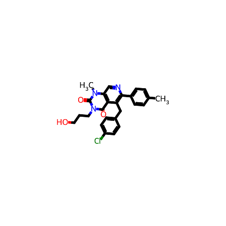 Cc1ccc(-c2ncc3c(c2Cc2ccc(Cl)cc2)c(=O)n(CCCO)c(=O)n3C)cc1